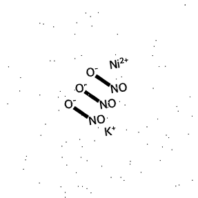 O=N[O-].O=N[O-].O=N[O-].[K+].[Ni+2]